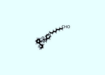 O=CCCCCCCCCN1CCC(OC(=O)Nc2ccccc2-c2cccs2)CC1